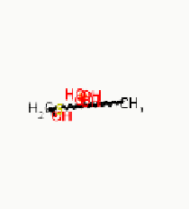 C=C(CO)CSCCCCCCCCCCCCCCCCCC.O=P(O)(O)O